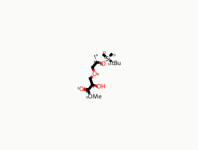 COC(=O)C(O)COC[C@H](C)O[Si](C)(C)C(C)(C)C